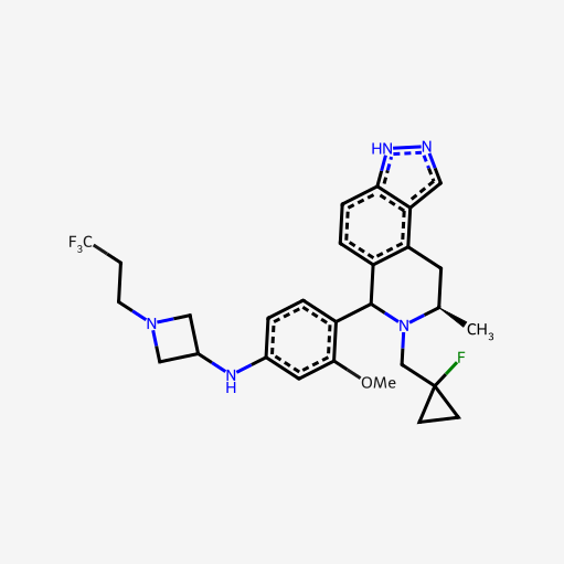 COc1cc(NC2CN(CCC(F)(F)F)C2)ccc1C1c2ccc3[nH]ncc3c2C[C@@H](C)N1CC1(F)CC1